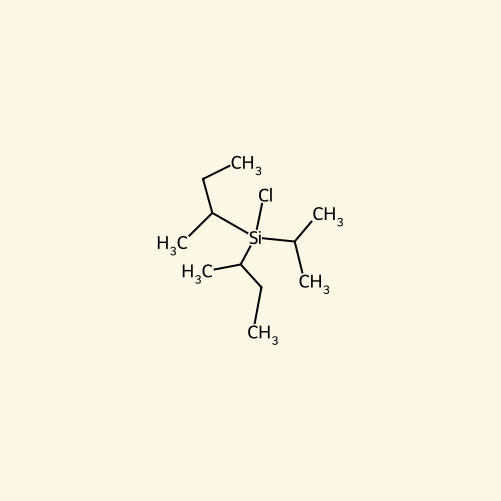 CCC(C)[Si](Cl)(C(C)C)C(C)CC